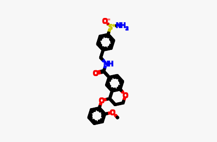 COc1ccccc1OC1CCOc2ccc(C(=O)NCc3ccc([S+](N)[O-])cc3)cc21